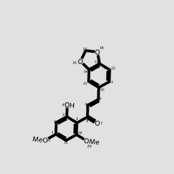 COc1cc(O)c(C(=O)C=Cc2ccc3c(c2)OCO3)c(OC)c1